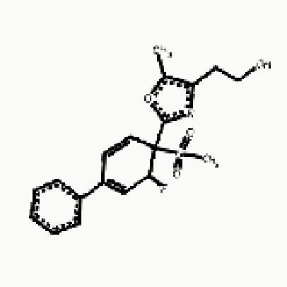 Cc1oc(C2(S(C)(=O)=O)C=CC(c3ccccc3)=CC2F)nc1CCO